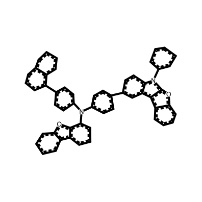 c1ccc(-n2c3ccc(-c4ccc(N(c5ccc(-c6cccc7ccccc67)cc5)c5cccc6c5oc5ccccc56)cc4)cc3c3c4ccccc4oc32)cc1